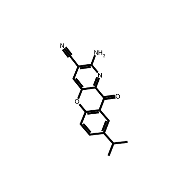 CC(C)c1ccc2oc3cc(C#N)c(N)nc3c(=O)c2c1